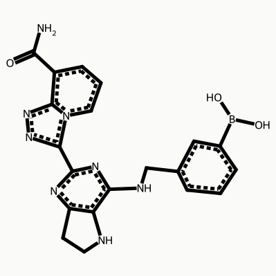 NC(=O)c1cccn2c(-c3nc4c(c(NCc5cccc(B(O)O)c5)n3)NCC4)nnc12